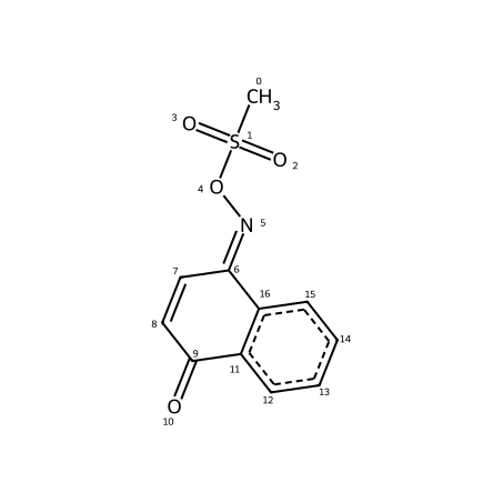 CS(=O)(=O)ON=C1C=CC(=O)c2ccccc21